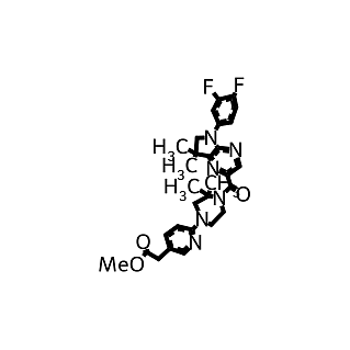 COC(=O)Cc1ccc(N2CCN(C(=O)c3cnc4c(n3)C(C)(C)CN4c3ccc(F)c(F)c3)C(C)(C)C2)nc1